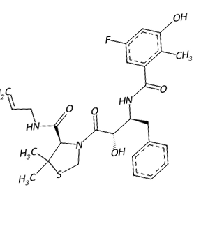 C=CCNC(=O)[C@H]1N(C(=O)[C@@H](O)[C@H](Cc2ccccc2)NC(=O)c2cc(F)cc(O)c2C)CSC1(C)C